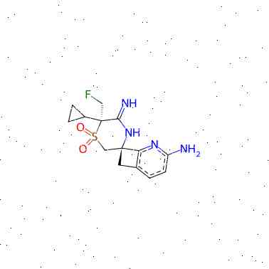 N=C1N[C@@]2(Cc3ccc(N)nc32)CS(=O)(=O)[C@@]1(CF)C1CC1